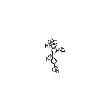 CC(C)S(=O)(=O)Nc1cc(-n2cccc2)cc(-n2cnc3cc(-c4cnco4)ccc32)c1